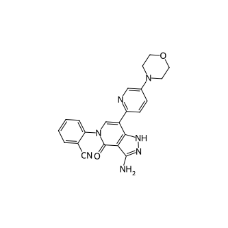 N#Cc1ccccc1-n1cc(-c2ccc(N3CCOCC3)cn2)c2[nH]nc(N)c2c1=O